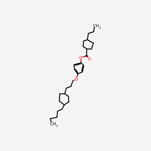 CCCCCC1CCC(CCCOc2ccc(OC(=O)C3CCC(CCC)CC3)cc2)CC1